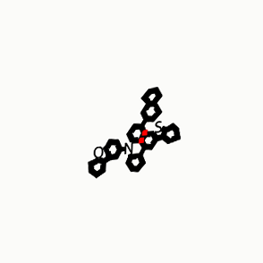 c1ccc(N(c2ccc(-c3ccc4ccccc4c3)cc2)c2ccc3oc4ccccc4c3c2)c(-c2ccc3sc4ccccc4c3c2)c1